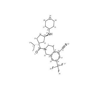 CC(C)[C@]1(C(=O)N2CCc3c(C#N)cc(C(F)(F)F)cc3C2)CC[C@@H](NC2CCOCC2)C1